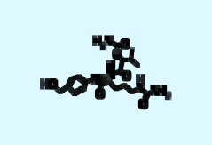 CC(C)C(OC(N)=O)C(=O)NC(CCCNC(N)=O)C(=O)Nc1ccc(CO)cc1